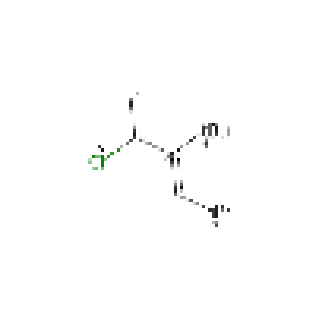 CC(C)/C=C(/C(C)Cl)C(C)(C)C